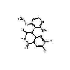 CCCCOc1ccnc(C(C)C)c1-n1c(=O)[nH]c(=O)c2cc(F)c(Cl)nc21